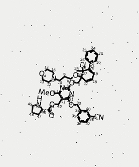 COc1nc(OCC2(OCCCN3CCOCC3)C=CC=C(c3ccccc3)C2(C)Cl)nc(OCc2cccc(C#N)c2)c1COC(=O)[C@@H]1CCCN1